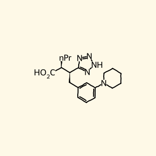 CCC[C@H](C(=O)O)[C@H](Cc1cccc(N2CCCCC2)c1)c1nn[nH]n1